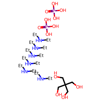 CCNCC.CCNCC.CCNCC.CCNCC.CCNCC.CCNCC.O=P(O)(O)O.O=P(O)(O)O.OCC(CO)(CO)CO